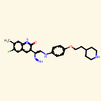 Cc1cc2[nH]c(=O)c(/C(=C/Nc3ccc(OCCC4CCNCC4)cc3)N=N)cc2cc1F